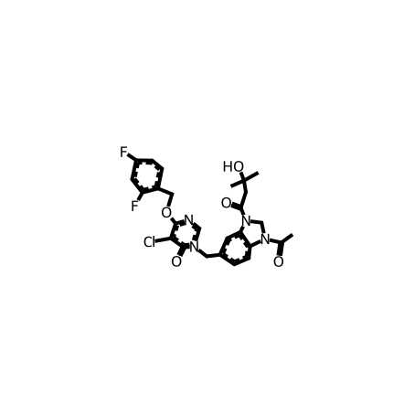 CC(=O)N1CN(C(=O)CC(C)(C)O)c2cc(Cn3cnc(OCc4ccc(F)cc4F)c(Cl)c3=O)ccc21